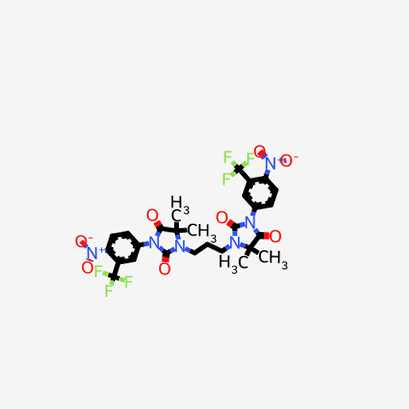 CC1(C)C(=O)N(c2ccc([N+](=O)[O-])c(C(F)(F)F)c2)C(=O)N1CCCN1C(=O)N(c2ccc([N+](=O)[O-])c(C(F)(F)F)c2)C(=O)C1(C)C